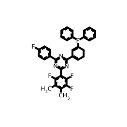 Cc1c(C)c(F)c(-c2nc(C3=CCCC(P(c4ccccc4)c4ccccc4)=C3)nc(-c3ccc(F)cc3)n2)c(F)c1F